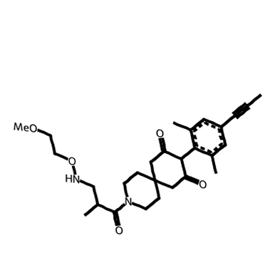 CC#Cc1cc(C)c(C2C(=O)CC3(CCN(C(=O)C(C)CNOCCOC)CC3)CC2=O)c(C)c1